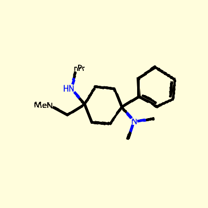 CCCNC1(CNC)CCC(C2=CC=CCC2)(N(C)C)CC1